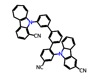 N#Cc1ccc2c(c1)C1C=CC=CC1N2c1cc(C#N)ccc1-c1cccc(-c2cccc(-n3c4c(c5cccc(C#N)c53)CC=CC=C4)c2)c1